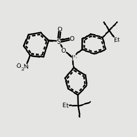 CCC(C)(C)c1ccc([I+](OS(=O)(=O)c2cccc([N+](=O)[O-])c2)c2ccc(C(C)(C)CC)cc2)cc1